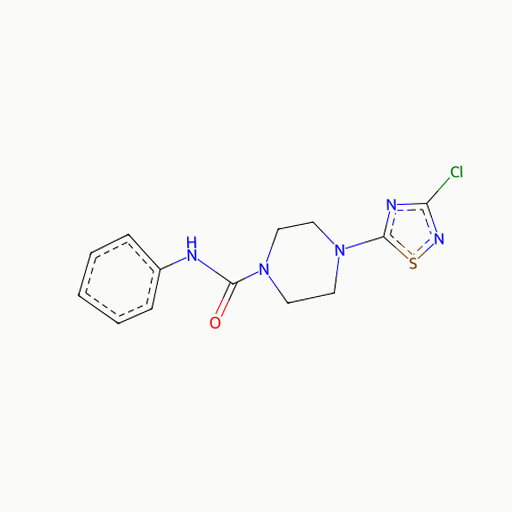 O=C(Nc1ccccc1)N1CCN(c2nc(Cl)ns2)CC1